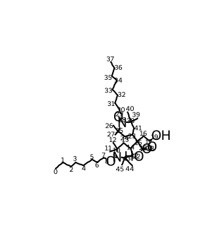 CCCCCCCCON1C(C)(C)CC(C(CC(=O)O)(C(=O)O)C2CC(C)(C)N(OCCCCCCCC)C(C)(C)C2)CC1(C)C